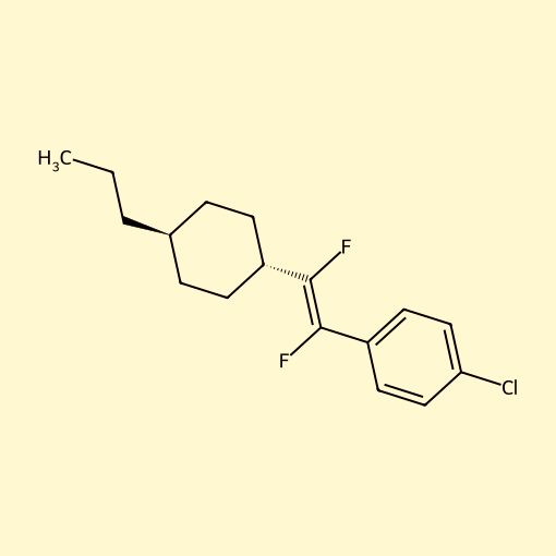 CCC[C@H]1CC[C@H](C(F)=C(F)c2ccc(Cl)cc2)CC1